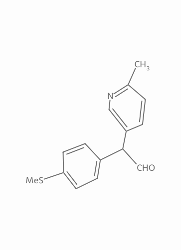 CSc1ccc(C(C=O)c2ccc(C)nc2)cc1